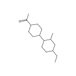 CCC1CCC(C2CCC(C(C)=O)CC2)C(C)C1